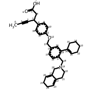 CC#CC(CC(=O)O)c1ccc(OCc2ccc(CN3CCC4=CCCC=C4C3)c(C3=CCCCC3)c2)cc1